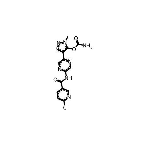 Cn1nnc(-c2cnc(NC(=O)c3ccc(Cl)nc3)cn2)c1OC(N)=O